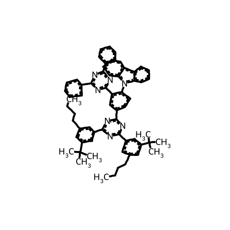 CCCCc1cc(-c2nc(-c3cc(CCCC)cc(C(C)(C)C)c3)nc(-c3ccc(-n4c5ccccc5c5ccccc54)c(-c4nc(-c5ccccc5)nc(-c5ccccc5)n4)c3)n2)cc(C(C)(C)C)c1